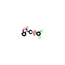 O=C1OCc2ccccc2N1C1CCN(S(=O)(=O)c2cc(Cl)cc(Cl)c2)CC1